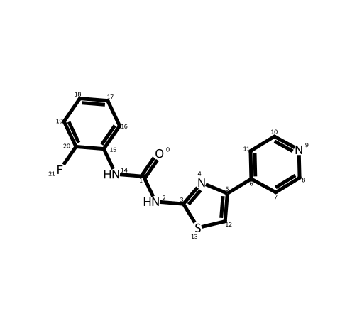 O=C(Nc1nc(-c2ccncc2)cs1)Nc1ccccc1F